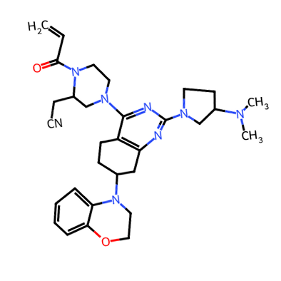 C=CC(=O)N1CCN(c2nc(N3CCC(N(C)C)C3)nc3c2CCC(N2CCOc4ccccc42)C3)CC1CC#N